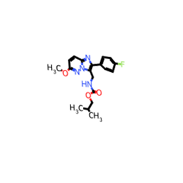 COc1ccc2nc(-c3ccc(F)cc3)c(CNC(=O)OCC(C)C)n2n1